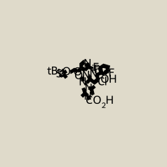 CC(C)c1nccc(OCCO[Si](C)(C)C(C)(C)C)c1-n1c(=O)nc(N2CC(C)N(C(=O)O)CC2C)c2cc(Cl)c(-c3c(F)ccc(F)c3O)nc21